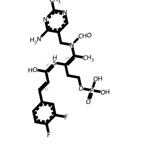 C/C(=C(CCOP(=O)(O)O)/[SH]=C(O)\C=C\c1ccc(F)c(F)c1)N(C=O)Cc1cnc(C)nc1N